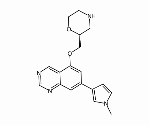 Cn1ccc(-c2cc(OC[C@@H]3CNCCO3)c3cncnc3c2)c1